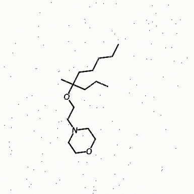 CCCCCC(C)(CCC)OCCN1CCOCC1